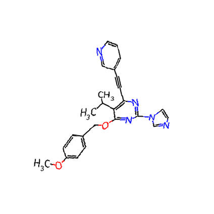 COc1ccc(COc2nc(-n3ccnc3)nc(C#Cc3cccnc3)c2C(C)C)cc1